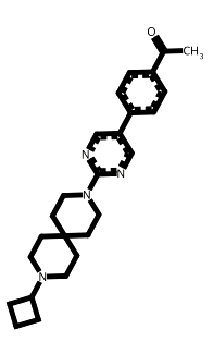 CC(=O)c1ccc(-c2cnc(N3CCC4(CC3)CCN(C3CCC3)CC4)nc2)cc1